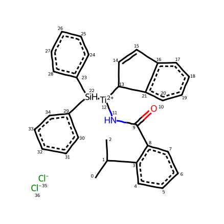 CC(C)c1ccccc1C(=O)[NH][Ti+2]([CH]1C=Cc2ccccc21)[SiH](c1ccccc1)c1ccccc1.[Cl-].[Cl-]